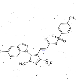 Cc1ccc(S(=O)(=O)[N-]C(=O)/C=C/c2c(C)nn(C)c2-n2ccc3cc(Cl)ccc32)cc1.[K+]